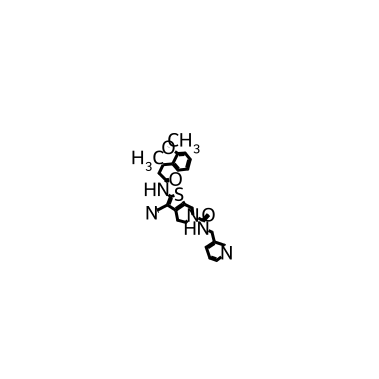 COc1ccccc1C(C)CC(=O)Nc1sc2c(c1C#N)CCN(C(=O)NCc1cccnc1)C2